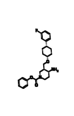 NC1CCN(C(=O)Oc2ccccc2)CC1CO[C@H]1CC[C@@H](c2cccc(F)c2)CC1